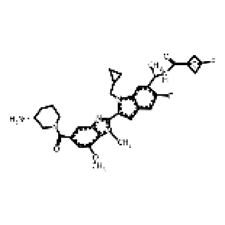 COc1cc(C(=O)N2CCC[C@@H](N)C2)cc2nc(-c3cc4cc(F)c([C@@H](C)NC(=O)C56CC(F)(C5)C6)cc4n3CC3CC3)n(C)c12